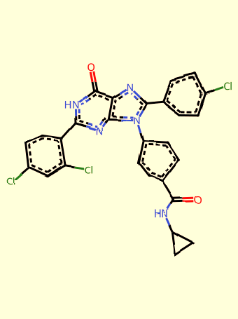 O=C(NC1CC1)c1ccc(-n2c(-c3ccc(Cl)cc3)nc3c(=O)[nH]c(-c4ccc(Cl)cc4Cl)nc32)cc1